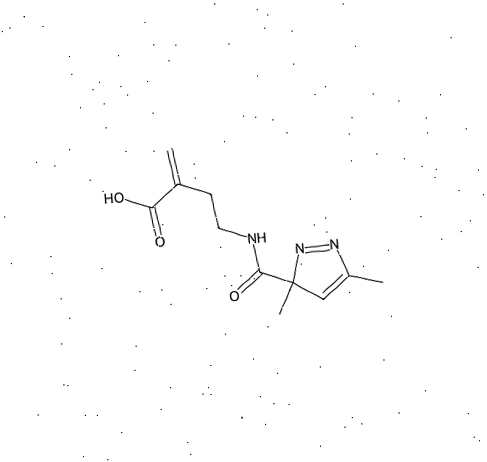 C=C(CCNC(=O)C1(C)C=C(C)N=N1)C(=O)O